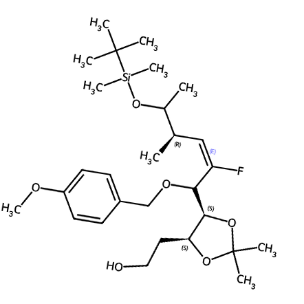 COc1ccc(COC(/C(F)=C\[C@@H](C)C(C)O[Si](C)(C)C(C)(C)C)[C@H]2OC(C)(C)O[C@H]2CCO)cc1